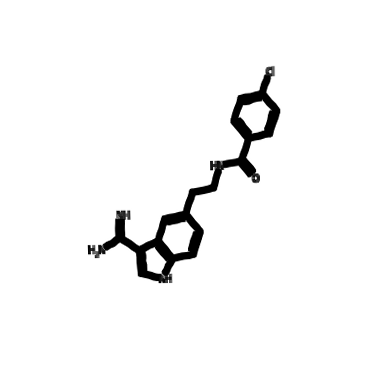 N=C(N)c1c[nH]c2ccc(CCNC(=O)c3ccc(Cl)cc3)cc12